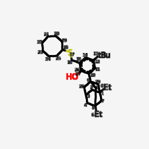 CCC12CC3CC(CC)(C1)CC(c1cc(C(C)(C)C)cc(CSC4CCCCCCC4)c1O)(C3)C2